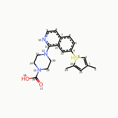 CC1=C[SH](c2ccc3ccnc(N4CCN(C(=O)O)CC4)c3c2)C(C)=C1